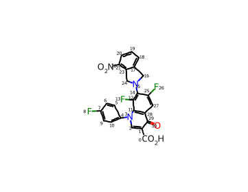 O=C(O)c1cn(-c2ccc(F)cc2)c2c(F)c(N3Cc4cccc([N+](=O)[O-])c4C3)c(F)cc2c1=O